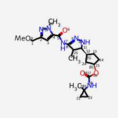 COCc1cc(C(=O)NC2=NNC([C@H]3CC[C@@H](OC(=O)NC4(C)CC4)C3)C2C)n(C)n1